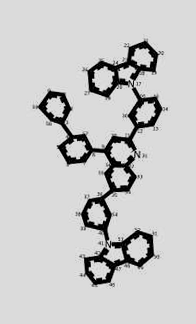 c1ccc(-c2cccc(-c3cc(-c4cccc(-n5c6ccccc6c6ccccc65)c4)nc4ccc(-c5cccc(-n6c7ccccc7c7ccccc76)c5)cc34)c2)cc1